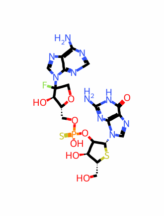 Nc1nc2c(ncn2[C@@H]2S[C@H](CO)[C@@H](O)C2OP(O)(=S)OC[C@H]2OCC(F)(n3cnc4c(N)ncnc43)[C@@H]2O)c(=O)[nH]1